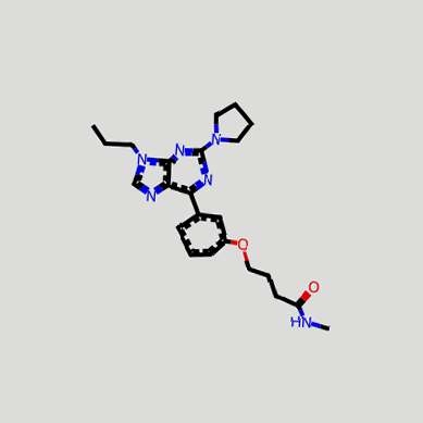 CCCn1cnc2c(-c3cccc(OCCCC(=O)NC)c3)nc(N3CCCC3)nc21